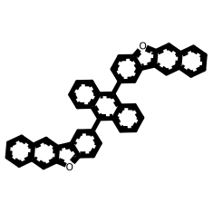 c1ccc2cc3c(cc2c1)oc1ccc(-c2c4ccccc4c(-c4ccc5oc6cc7ccccc7cc6c5c4)c4ccccc24)cc13